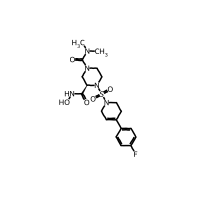 CN(C)C(=O)N1CCN(S(=O)(=O)N2CC=C(c3ccc(F)cc3)CC2)[C@@H](C(=O)NO)C1